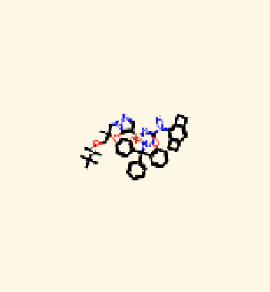 CC(C)(C)[Si](C)(C)OC[C@]1(C)Cn2ncc(S(=O)(=NC(=O)Nc3c4c(cc5c3CC5)CC4)NC(c3ccccc3)(c3ccccc3)c3ccccc3)c2O1